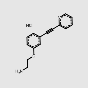 Cl.NCCOc1cccc(C#Cc2ccccn2)c1